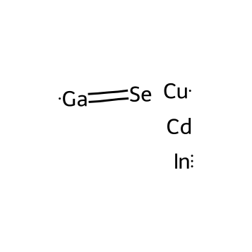 [Cd].[Cu].[Ga]=[Se].[In]